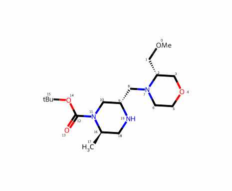 COC[C@@H]1COCCN1C[C@H]1CN(C(=O)OC(C)(C)C)[C@H](C)CN1